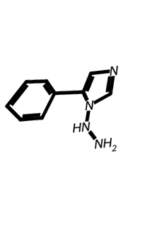 NNn1cncc1-c1ccccc1